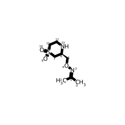 CC(C)=NOC[C@H]1CS(=O)(=O)CCN1